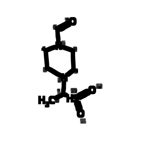 CC(N1CCN(C=O)CC1)[SH](=O)=O